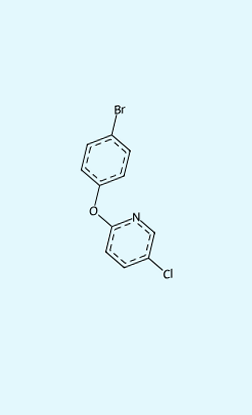 Clc1ccc(Oc2ccc(Br)cc2)nc1